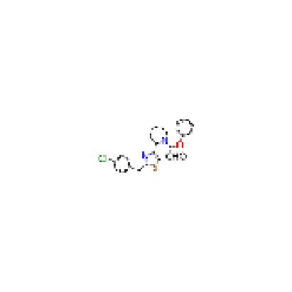 O=C[C@@H](Oc1ccccc1)N1CCCCC1c1csc(Cc2ccc(Cl)cc2)n1